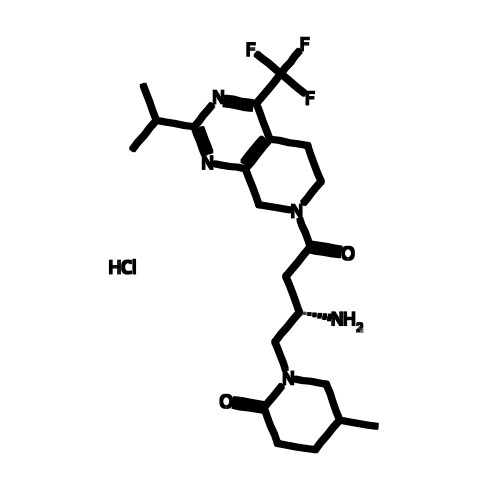 CC1CCC(=O)N(C[C@@H](N)CC(=O)N2CCc3c(nc(C(C)C)nc3C(F)(F)F)C2)C1.Cl